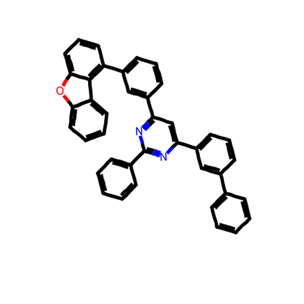 c1ccc(-c2cccc(-c3cc(-c4cccc(-c5cccc6oc7ccccc7c56)c4)nc(-c4ccccc4)n3)c2)cc1